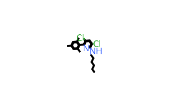 CCCCCCNc1nc(-c2c(C)cc(C)cc2C)c(Cl)cc1Cl